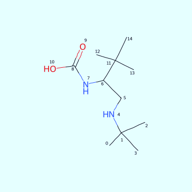 CC(C)(C)NCC(NC(=O)O)C(C)(C)C